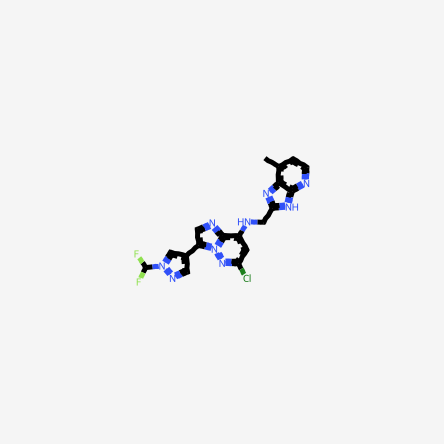 Cc1ccnc2[nH]c(CNc3cc(Cl)nn4c(-c5cnn(C(F)F)c5)cnc34)nc12